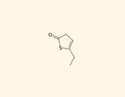 CCC1=CCC(=O)S1